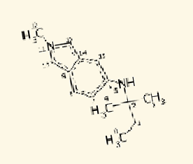 CCC(C)(C)Nc1ccc2cn(C)cc2c1